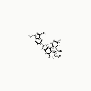 Cc1cc2nc(-c3ccc4c(c3)c(C)nn4C)sc2c(-c2ccc(Cl)cc2)c1[C@H](OC(C)(C)C)C(=O)O